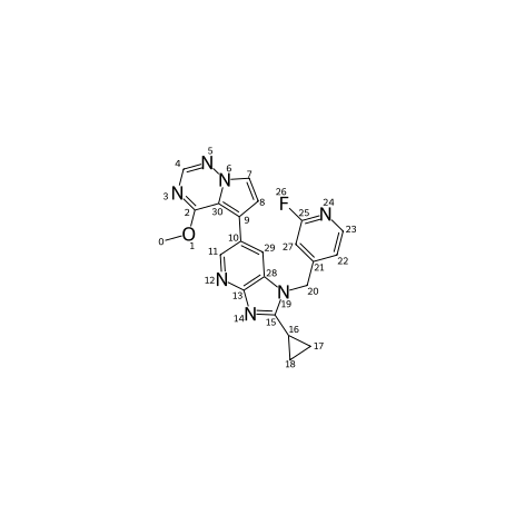 COc1ncnn2ccc(-c3cnc4nc(C5CC5)n(Cc5ccnc(F)c5)c4c3)c12